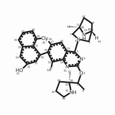 CC(Oc1nc(N2C[C@H]3CC[C@](C)(C2)N3)c2cc(F)c(-c3cc(O)cc4cccc(Cl)c34)c(F)c2n1)[C@]1(C)CCCN1